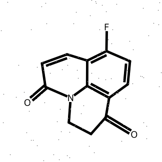 O=C1CCn2c(=O)ccc3c(F)ccc1c32